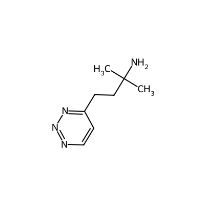 CC(C)(N)CCc1ccnnn1